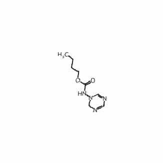 CCCCOC(=O)NN1C=NC=NC1